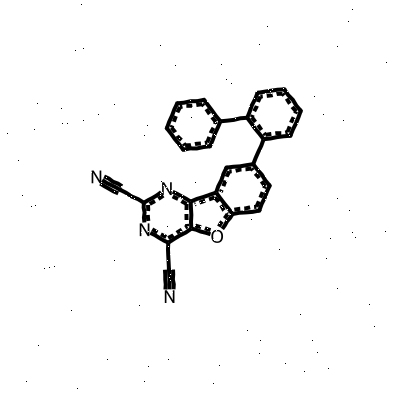 N#Cc1nc(C#N)c2oc3ccc(-c4ccccc4-c4ccccc4)cc3c2n1